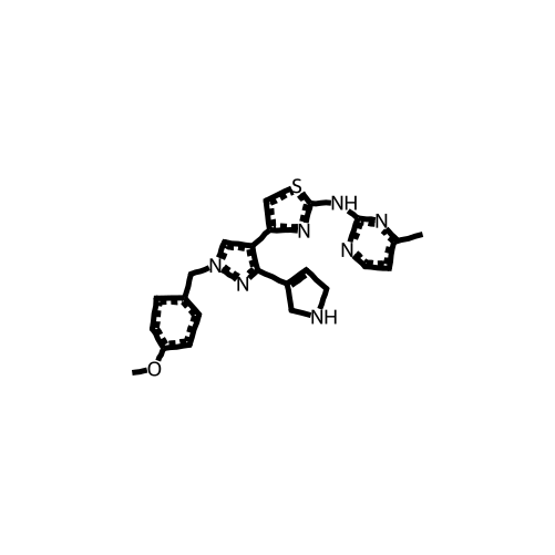 COc1ccc(Cn2cc(-c3csc(Nc4nccc(C)n4)n3)c(C3=CCNC3)n2)cc1